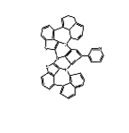 C1=CC2C3C(=C1)CCC=C3c1cccc3sc4c(c13)N2c1cc(-c2cccnc2)cc2c1B4c1sc3cccc4c5cccc6cccc(c65)n-2c1c34